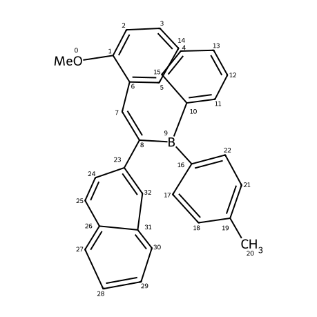 COc1ccccc1/C=C(\B(c1ccccc1)c1ccc(C)cc1)c1ccc2ccccc2c1